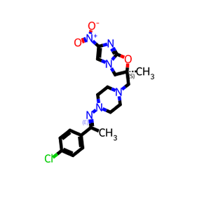 C/C(=N\N1CCN(C[C@@]2(C)Cn3cc([N+](=O)[O-])nc3O2)CC1)c1ccc(Cl)cc1